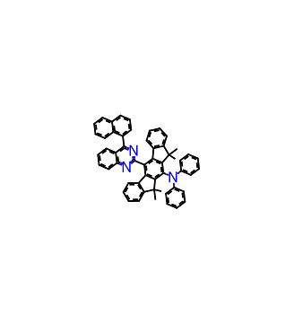 CC1(C)c2ccccc2-c2c(-c3nc(-c4cccc5ccccc45)c4ccccc4n3)c3c(c(N(c4ccccc4)c4ccccc4)c21)C(C)(C)c1ccccc1-3